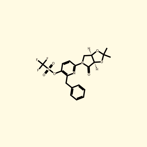 CC1(C)O[C@@H]2CN(c3ccc(OS(=O)(=O)C(F)(F)F)c(Cc4ccccc4)n3)C(=O)[C@@H]2O1